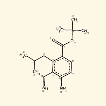 CC(C)Cc1c(C(=O)OC(C)(C)C)ccc(N)c1C=N